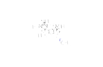 C/C=C/CCc1cc(C)c(C(=O)N=C(N)N)cc1S(C)(=O)=O